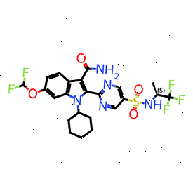 C[C@H](NS(=O)(=O)c1cnc(-c2c(C(N)=O)c3ccc(OC(F)F)cc3n2C2CCCCC2)nc1)C(F)(F)F